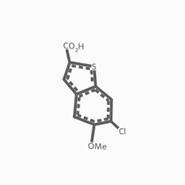 COc1cc2cc(C(=O)O)sc2cc1Cl